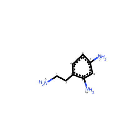 NCCc1ccc(N)cc1N